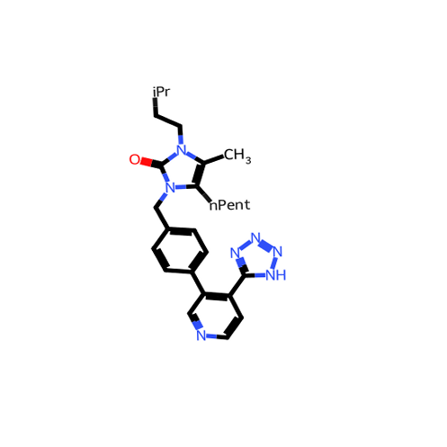 CCCCCc1c(C)n(CCC(C)C)c(=O)n1Cc1ccc(-c2cnccc2-c2nnn[nH]2)cc1